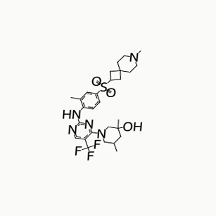 Cc1cc(S(=O)(=O)C2CC3(CCN(C)CC3)C2)ccc1Nc1ncc(C(F)(F)F)c(N2CC(C)CC(C)(O)C2)n1